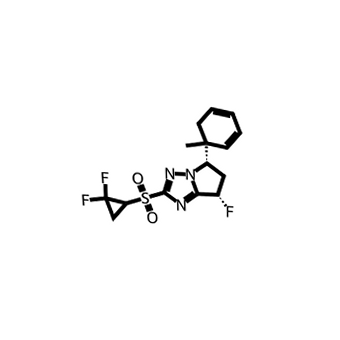 CC1([C@@H]2C[C@H](F)c3nc(S(=O)(=O)C4CC4(F)F)nn32)C=CC=CC1